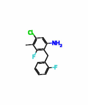 Cc1c(Cl)cc(N)c(Cc2ccccc2F)c1F